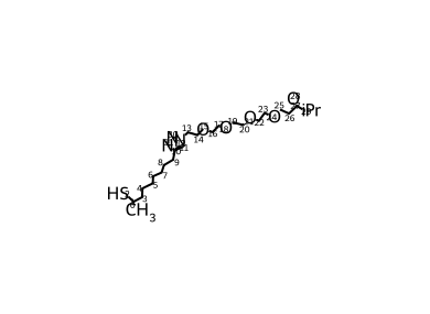 CC(S)CCCCCCCc1cn(CCOCCOCCOCCOCCC(=O)C(C)C)nn1